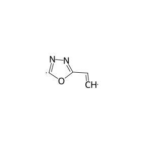 [CH]=Cc1nn[c]o1